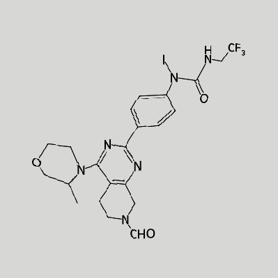 CC1COCCN1c1nc(-c2ccc(N(I)C(=O)NCC(F)(F)F)cc2)nc2c1CCN(C=O)C2